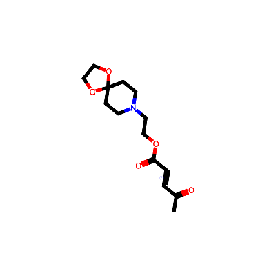 CC(=O)/C=C/C(=O)OCCN1CCC2(CC1)OCCO2